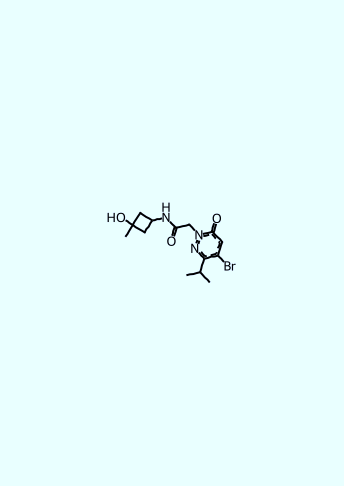 CC(C)c1nn(CC(=O)NC2CC(C)(O)C2)c(=O)cc1Br